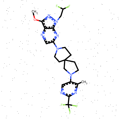 COc1nn(CC(F)F)c2nc(N3CCC4(CC3)CCN(c3cnc(C(F)(F)F)nc3C)C4)cnc12